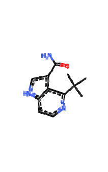 CC(C)(C)c1nccc2[nH]cc(C(N)=O)c12